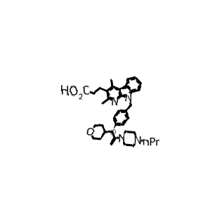 C=C([C@H](c1ccc(Cn2c3ccccc3c3c(C)c(CCC(=O)O)c(C)nc32)cc1)C1CCOCC1)N1CCN(CCC)CC1